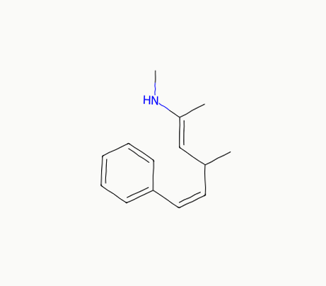 CN/C(C)=C/C(C)/C=C\c1ccccc1